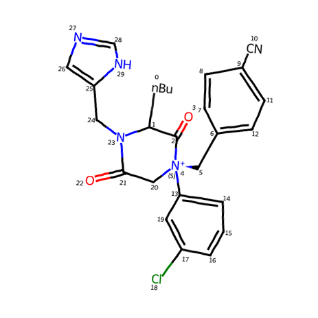 CCCCC1C(=O)[N@+](Cc2ccc(C#N)cc2)(c2cccc(Cl)c2)CC(=O)N1Cc1cnc[nH]1